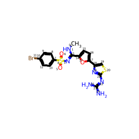 CNC(=NS(=O)(=O)c1ccc(Br)cc1)c1ccc(-c2csc(N=C(N)N)n2)o1